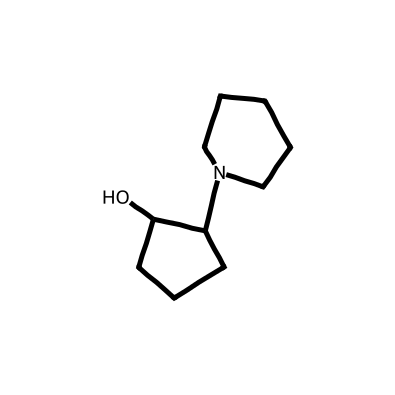 OC1CCCC1N1CCCCC1